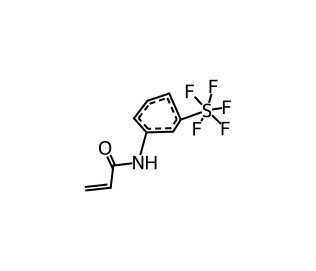 C=CC(=O)Nc1cccc(S(F)(F)(F)(F)F)c1